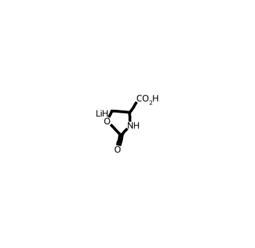 O=C1NC(C(=O)O)CO1.[LiH]